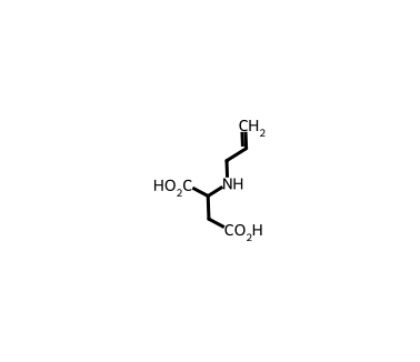 C=CCNC(CC(=O)O)C(=O)O